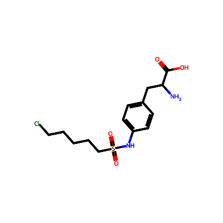 NC(Cc1ccc(NS(=O)(=O)CCCCCCl)cc1)C(=O)O